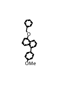 COc1ccc(-c2cccc3c(OCc4ccccc4)cccc23)cc1